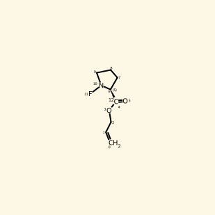 C=CCO[12C](=O)[C@@H]1CCCN1F